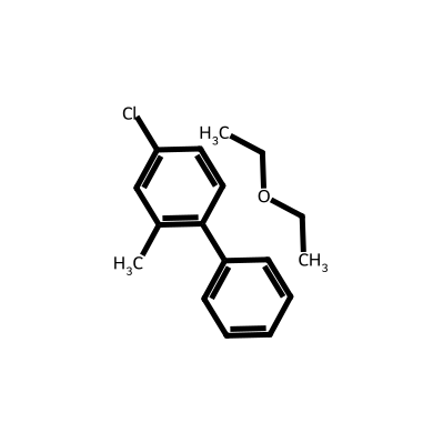 CCOCC.Cc1cc(Cl)ccc1-c1ccccc1